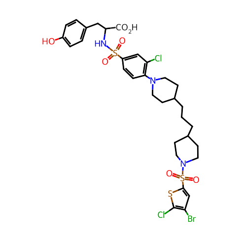 O=C(O)C(Cc1ccc(O)cc1)NS(=O)(=O)c1ccc(N2CCC(CCCC3CCN(S(=O)(=O)c4cc(Br)c(Cl)s4)CC3)CC2)c(Cl)c1